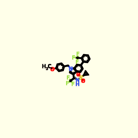 COc1ccc(Cn2cc([C@H](NS(=O)(=O)C3CC3)C(F)(F)F)c3ccc(-c4ccccc4C(F)(F)F)cc32)cc1